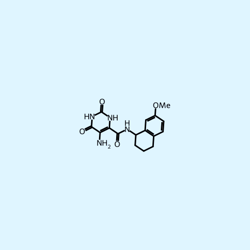 COc1ccc2c(c1)C(NC(=O)c1[nH]c(=O)[nH]c(=O)c1N)CCC2